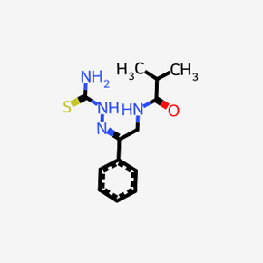 CC(C)C(=O)NCC(=NNC(N)=S)c1ccccc1